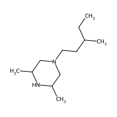 CCC(C)CCN1CC(C)NC(C)C1